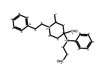 CC1CC([C]=O)(N(CCC=O)c2ccccc2)CCN1CCc1ccccc1